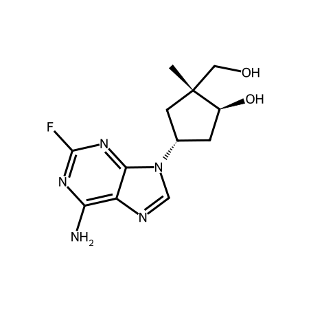 C[C@]1(CO)C[C@@H](n2cnc3c(N)nc(F)nc32)C[C@@H]1O